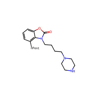 CCCCCc1cccc2oc(=O)n(CCCCN3CCNCC3)c12